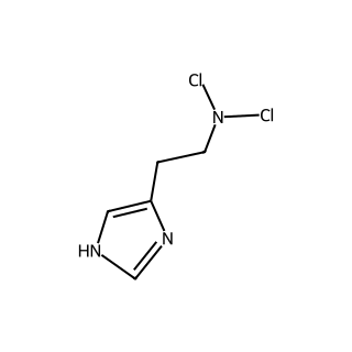 ClN(Cl)CCc1c[nH]cn1